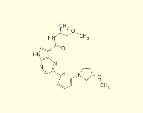 COC[C@H](C)NC(=O)c1c[nH]c2ncc(-c3cccc(N4CCC(OC)C4)c3)nc12